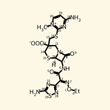 CCON=C(C(=O)NC1C(=O)N2CC(CSc3nc(N)cc[n+]3C)(C(=O)[O-])CS[C@H]12)c1nsc(N)n1